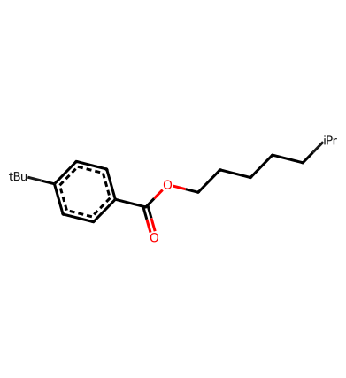 CC(C)CCCCCOC(=O)c1ccc(C(C)(C)C)cc1